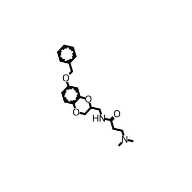 CN(C)CCC(=O)NCC1COc2ccc(OCc3ccccc3)cc2O1